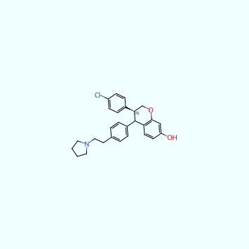 Oc1ccc2c(c1)OC[C@H](c1ccc(Cl)cc1)C2c1ccc(CCN2CCCC2)cc1